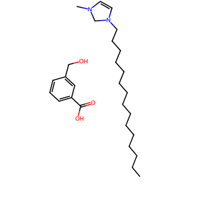 CCCCCCCCCCCCCCCN1C=CN(C)C1.O=C(O)c1cccc(CO)c1